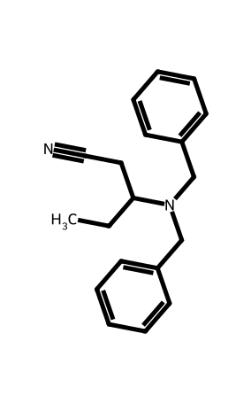 CCC(CC#N)N(Cc1ccccc1)Cc1ccccc1